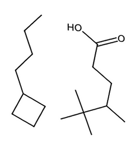 CC(CCC(=O)O)C(C)(C)C.CCCCC1CCC1